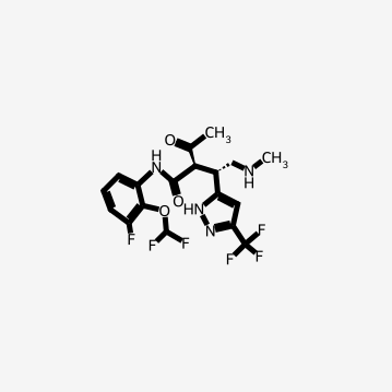 CNC[C@H](c1cc(C(F)(F)F)n[nH]1)[C@H](C(C)=O)C(=O)Nc1cccc(F)c1OC(F)F